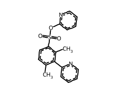 Cc1ccc(S(=O)(=O)Oc2ccccn2)c(C)c1-c1ccccn1